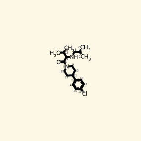 CC(C)CNC(C(=O)N1CCC(c2ccc(Cl)cc2)CC1)C(C)C